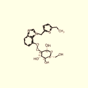 CCc1ccc(Cn2cnc3cccc(OO[C@@H]4[C@@H](O)[C@H](O)[C@@H](CO)O[C@H]4O)c32)s1